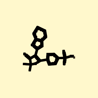 CC1(C)OC(c2ccc(S(N)(=O)=O)cc2)=C(c2cc3ccccc3o2)C1=O